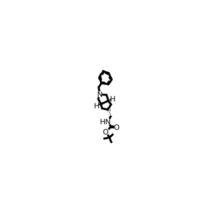 CC(C)(C)OC(=O)NC[C@H]1C[C@@H]2CN(Cc3ccccc3)C[C@@H]2C1